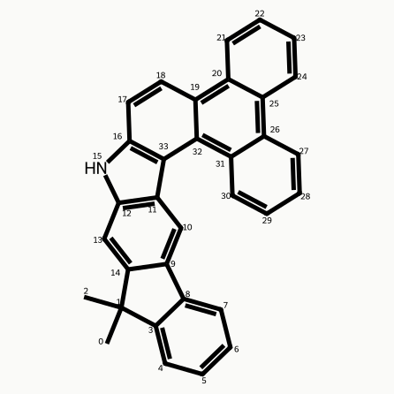 CC1(C)c2ccccc2-c2cc3c(cc21)[nH]c1ccc2c4ccccc4c4ccccc4c2c13